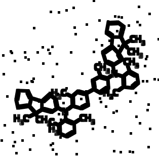 Cc1cc(-c2ccc(N(c3ccc4c(c3)C(C)(C)c3ccccc3-4)c3c(C)cccc3C)c(C)c2)ccc1N(c1ccc2c(c1)C(C)(C)c1ccccc1-2)c1c(C)cccc1C